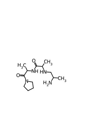 CC(N)CNC(C)C(=O)NC(C)C(=O)N1CCCC1